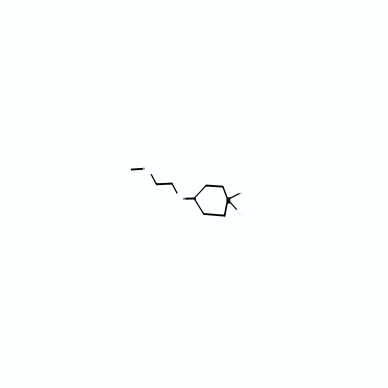 CCOCCOC1CCC(N)(C(=O)O)CC1